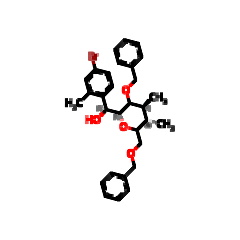 Cc1cc(Br)ccc1[C@H](O)[C@H]1OC(COCc2ccccc2)[C@@H](C)[C@H](C)C1OCc1ccccc1